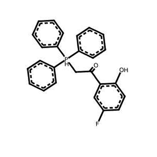 O=C(C[PH](c1ccccc1)(c1ccccc1)c1ccccc1)c1cc(F)ccc1O